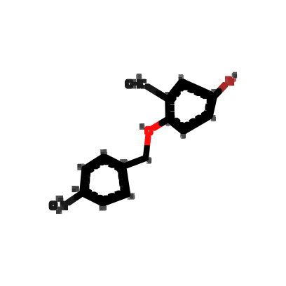 O=Cc1cc(Br)ccc1OCc1ccc([N+](=O)[O-])cc1